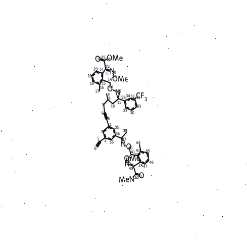 C#Cc1cc(C#CCC(C)C/C(=N\OCc2c(C)cccc2/C(=N\OC)C(=O)OC)c2cccc(C(F)(F)F)c2)cc(/C(C)=N/OCc2c(C)cccc2/C(=N\OC)C(=O)NC)c1